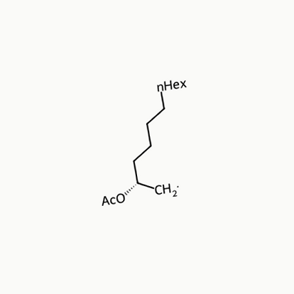 [CH2][C@@H](CCCCCCCCCC)OC(C)=O